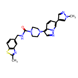 Cc1nc2cc(CNC(=O)N3CCN(c4cnn5cc(-c6cnn(C)c6)ccc45)CC3)ccc2s1